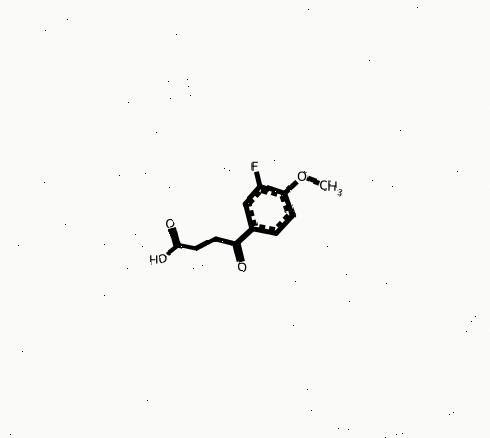 COc1ccc(C(=O)CCC(=O)O)cc1F